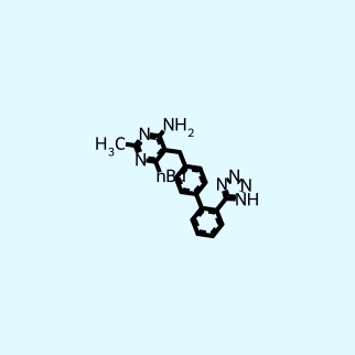 CCCCc1nc(C)nc(N)c1Cc1ccc(-c2ccccc2-c2nnn[nH]2)cc1